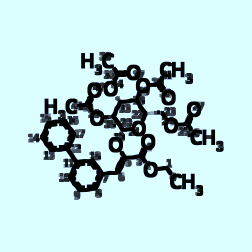 CCOC(=O)C(=Cc1cccc(-c2ccccc2)c1)O[C@H]1O[C@@H](COC(C)=O)[C@H](OC(C)=O)[C@@H](OC(C)=O)[C@@H]1OC(C)=O